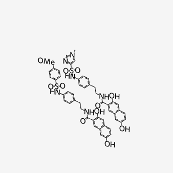 COc1ccc(S(=O)(=O)Nc2ccc(CCNC(=O)c3cc4cc(O)ccc4cc3O)cc2)cc1.Cn1cnc(S(=O)(=O)Nc2ccc(CCNC(=O)c3cc4cc(O)ccc4cc3O)cc2)c1